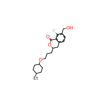 CCC1CCC(OCCCC2Cc3ccc(CO)c(F)c3C(=O)O2)CC1